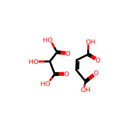 O=C(O)/C=C\C(=O)O.O=C(O)C(O)C(=O)O